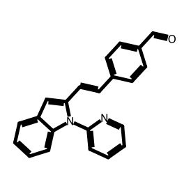 O=Cc1ccc(/C=C/c2cc3ccccc3n2-c2ccccn2)cc1